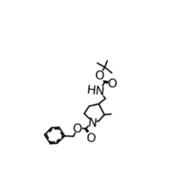 CC1CN(C(=O)OCc2ccccc2)CCC1CNC(=O)OC(C)(C)C